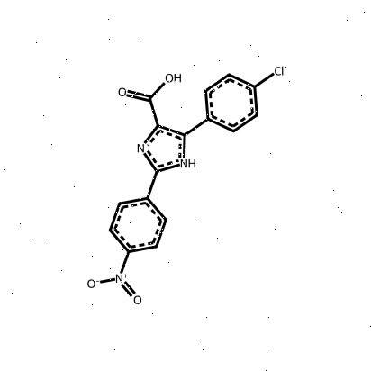 O=C(O)c1nc(-c2ccc([N+](=O)[O-])cc2)[nH]c1-c1ccc(Cl)cc1